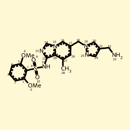 COc1cccc(OC)c1S(=O)(=O)Nc1ncn2cc(Cn3cc(CN)cn3)cc(C)c12